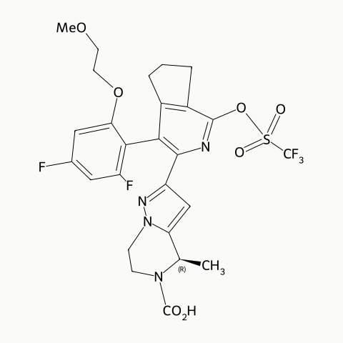 COCCOc1cc(F)cc(F)c1-c1c(-c2cc3n(n2)CCN(C(=O)O)[C@@H]3C)nc(OS(=O)(=O)C(F)(F)F)c2c1CCC2